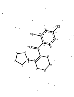 O=C(C1=C(N2CCCC2)CCCC1)c1ncc(Cl)cc1F